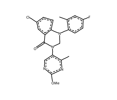 COc1ncc(N2CN(c3ccc(F)cc3C)c3ccc(Cl)cc3C2=O)c(C)n1